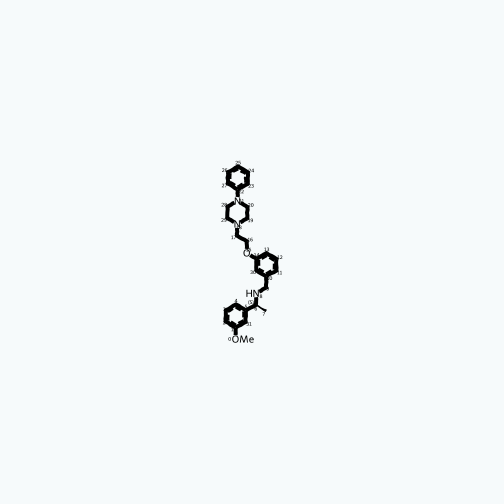 COc1cccc([C@H](C)NCc2cccc(OCCN3CCN(c4ccccc4)CC3)c2)c1